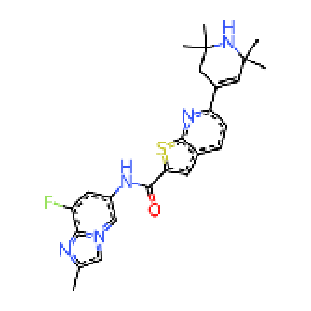 Cc1cn2cc(NC(=O)c3cc4ccc(C5=CC(C)(C)NC(C)(C)C5)nc4s3)cc(F)c2n1